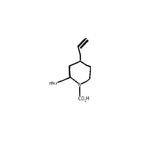 C=CC1CCN(C(=O)O)C(C(C)(C)C)C1